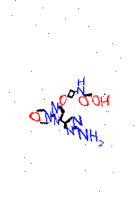 Nc1ncc(-c2cc(O[C@H]3C[C@H](NC(=O)CO)C3)nc(N3CCOCC3)n2)cn1